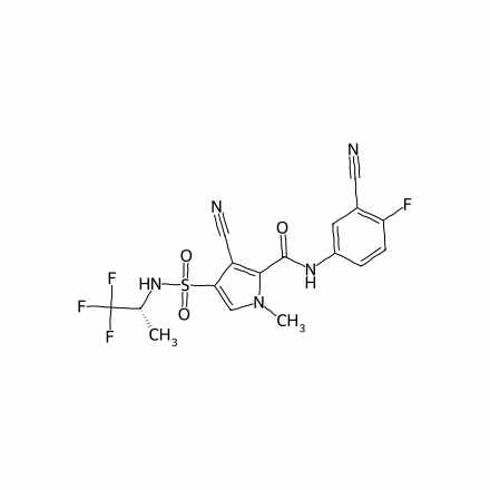 C[C@@H](NS(=O)(=O)c1cn(C)c(C(=O)Nc2ccc(F)c(C#N)c2)c1C#N)C(F)(F)F